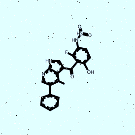 Cc1c(-c2ccccc2)cnc2[nH]cc(C(=O)c3c(O)ccc(N[SH](=O)=O)c3F)c12